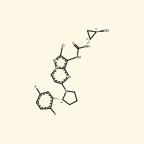 O[C@@H]1C[C@H]1NC(=S)Nc1c(Cl)nn2ccc(N3CCC[C@@H]3c3cc(F)ccc3F)nc12